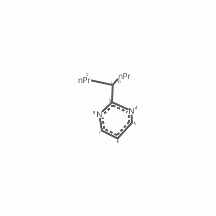 CCCC(CCC)c1ncccn1